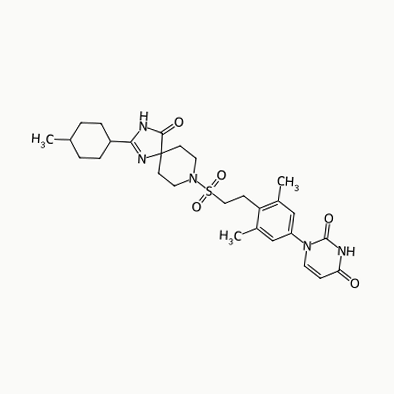 Cc1cc(-n2ccc(=O)[nH]c2=O)cc(C)c1CCS(=O)(=O)N1CCC2(CC1)N=C(C1CCC(C)CC1)NC2=O